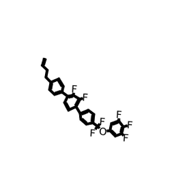 C=CCCc1ccc(-c2ccc(-c3ccc(C(F)(F)Oc4cc(F)c(F)c(F)c4)cc3)c(F)c2F)cc1